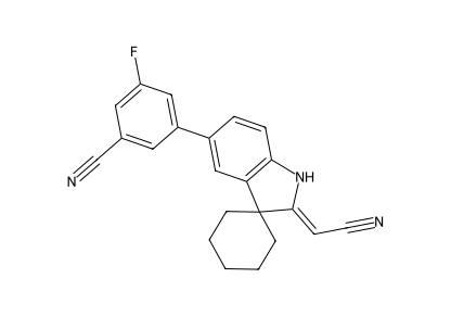 N#C/C=C1\Nc2ccc(-c3cc(F)cc(C#N)c3)cc2C12CCCCC2